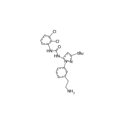 CC(C)(C)c1cc(NC(=O)Nc2cccc(Cl)c2Cl)n(-c2cccc(CCN)c2)n1